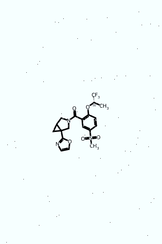 C[C@H](Oc1ccc(S(C)(=O)=O)cc1C(=O)N1CC2CC2(c2ncco2)C1)C(F)(F)F